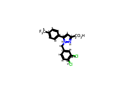 O=C(O)c1cc(-c2ccc(C(F)(F)F)cc2)n(Cc2ccc(Cl)c(Cl)c2)n1